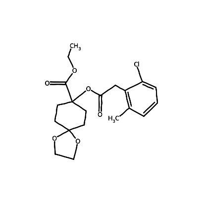 CCOC(=O)C1(OC(=O)Cc2c(C)cccc2Cl)CCC2(CC1)OCCO2